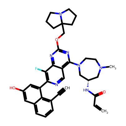 C#Cc1cccc2cc(O)cc(-c3ncc4c(N5CCN(C)C[C@H](NC(=O)C=C)C5)nc(OCC56CCCN5CCC6)nc4c3F)c12